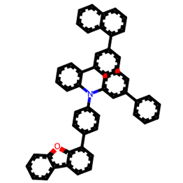 c1ccc(-c2cccc(N(c3ccc(-c4cccc5c4oc4ccccc45)cc3)c3ccccc3-c3cccc(-c4cccc5ccccc45)c3)c2)cc1